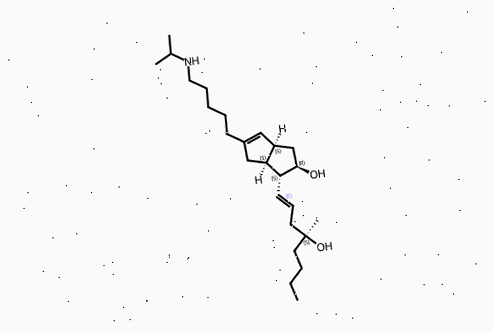 CCCC[C@](C)(O)C/C=C/[C@@H]1[C@H]2CC(CCCCCNC(C)C)=C[C@H]2C[C@H]1O